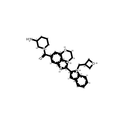 NC1CCCN(C(=O)c2cc3c4c(c2)nc(-c2cc5ccccc5n2CC2COC2)n4CCO3)C1